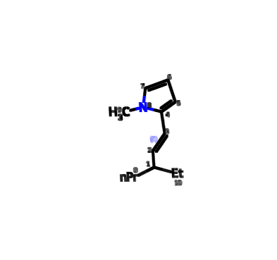 CCCC(/C=C/c1cccn1C)CC